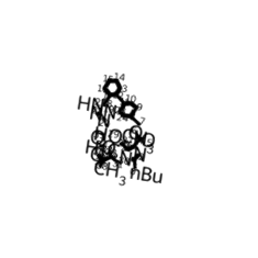 CCCCc1nc(C(=O)OCc2ccc(-c3ccccc3-c3nnn[nH]3)cc2)c(C(C)(C)O)n1Cc1oc(=O)oc1C